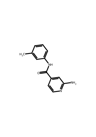 Cc1cccc(NC(=O)c2ccnc(N)c2)c1